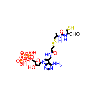 CC(CSSCCC(=O)NCc1cn(C2CC(O)C(COP(=O)(O)OP(=O)(O)OP(=O)(O)O)O2)c2ncnc(N)c12)NC(=O)N[C@H](C=O)CS